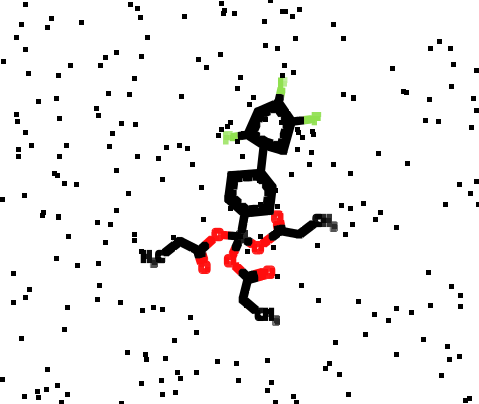 CCC(=O)O[Si](OC(=O)CC)(OC(=O)CC)c1ccc(-c2cc(F)c(F)cc2F)cc1